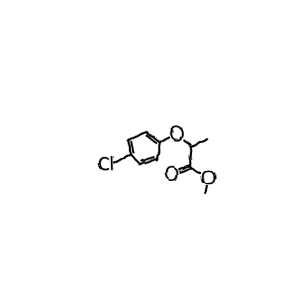 COC(=O)C(C)Oc1ccc(Cl)cc1